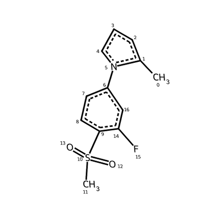 Cc1cccn1-c1ccc(S(C)(=O)=O)c(F)c1